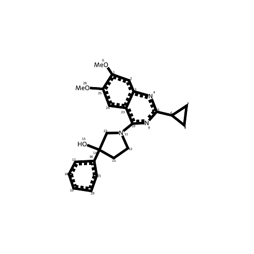 COc1cc2nc(C3CC3)nc(N3CCC(O)(c4ccccc4)C3)c2cc1OC